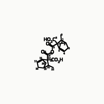 CC1C2CC=C(C2)C1(C(=O)O)C(=O)OC(=O)C1(C(=O)O)C2=CCC(C2)C1C